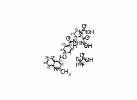 Cc1cc(COc2ccc(C(=O)N[C@@H]3CCN(C(=O)O)[C@@H]3C(=O)NO)cc2)c2ccccc2n1.O=C(O)C(F)(F)F